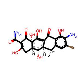 C[C@H]1c2cc(Br)c(N)c(O)c2C(=O)C2=C(O)[C@]3(O)C(=O)C(C(N)=O)=C(O)C[C@@H]3[C@@H](O)[C@@H]21